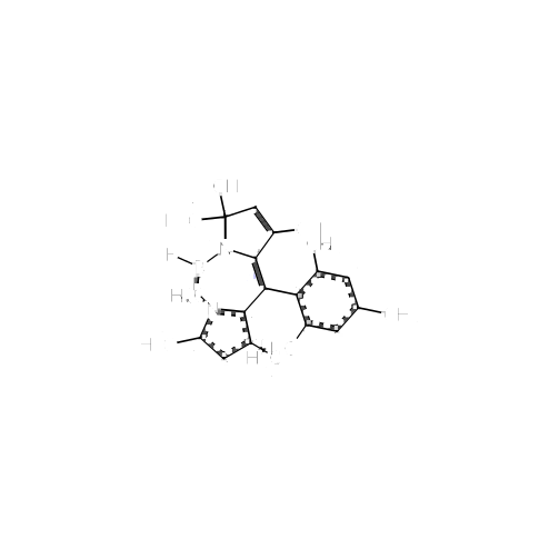 CC1=CC(C)(C)N(B(F)F)/C1=C(/c1c(C)cc(C)cc1C)c1c(C)cc(C)n1C